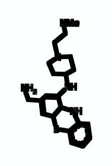 CNCCN1CCC(NC2=CC(CN)=CC3Sc4ccccc4NC23)CC1